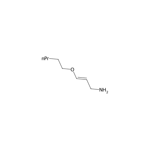 CCCCCOC=CCN